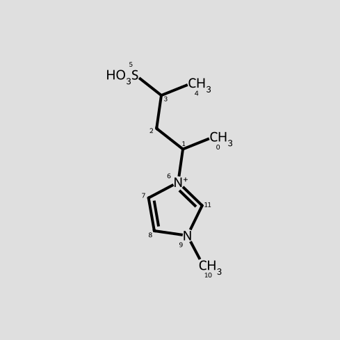 CC(CC(C)S(=O)(=O)O)[n+]1ccn(C)c1